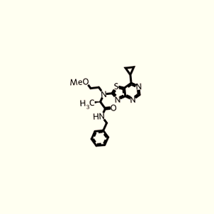 COCCN(c1nc2ncnc(C3CC3)c2s1)[C@H](C)C(=O)NCc1ccccc1